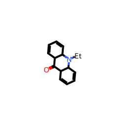 CCN1C2C=CC=CC2C(=O)C2C=CC=CC21